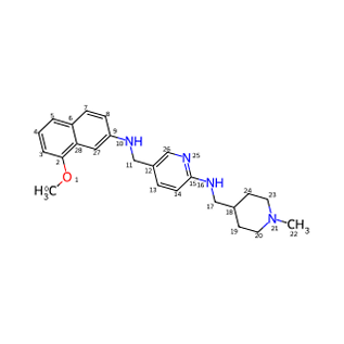 COc1cccc2ccc(NCc3ccc(NCC4CCN(C)CC4)nc3)cc12